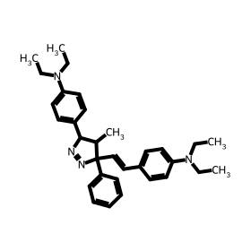 CCN(CC)c1ccc(C=CC2(c3ccccc3)N=NC(c3ccc(N(CC)CC)cc3)C2C)cc1